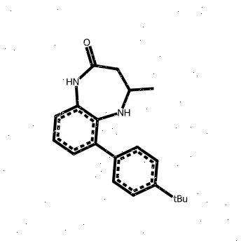 CC1CC(=O)Nc2cccc(-c3ccc(C(C)(C)C)cc3)c2N1